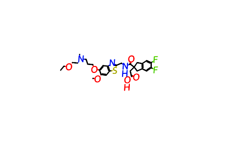 CCOCCN(C)CCCOc1cc2nc(CNC(=O)C3(CC(=O)O)Cc4cc(F)c(F)cc4C3)sc2cc1OC